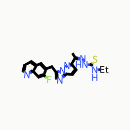 CCNC(=S)N/N=C(/C)c1ccc2ncc(Cc3cc4cccnc4cc3F)n2n1